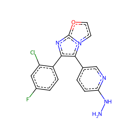 NNc1ccc(-c2c(-c3ccc(F)cc3Cl)nc3occn23)cn1